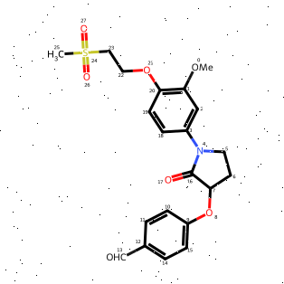 COc1cc(N2CCC(Oc3ccc(C=O)cc3)C2=O)ccc1OCCS(C)(=O)=O